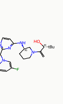 C=C([C@H](O)C(C)(C)C)N1CCC[C@@H](Nc2ccnc(-c3cnc4ccc(F)cn34)n2)C1